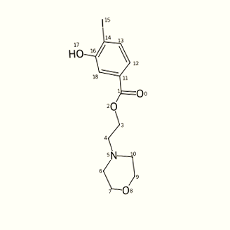 O=C(OCCN1CCOCC1)c1ccc(I)c(O)c1